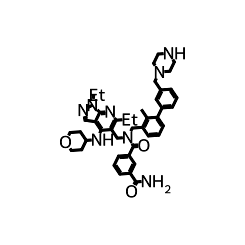 CCc1nc2c(cnn2CC)c(NC2CCOCC2)c1CN(Cc1cccc(-c2cccc(CN3CCNCC3)c2)c1C)C(=O)c1cccc(C(N)=O)c1